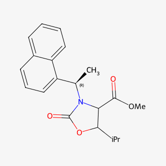 COC(=O)C1C(C(C)C)OC(=O)N1[C@H](C)c1cccc2ccccc12